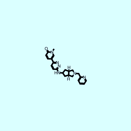 Cn1cc(-c2ccc(NC3C[C@@H]4CN(Cc5ccccn5)C[C@@H]4C3)nn2)ccc1=O